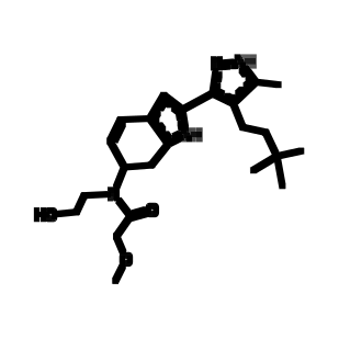 COCC(=O)N(CCO)C1C=Cc2cc(-c3n[nH]c(C)c3CCC(C)(C)C)[nH]c2C1